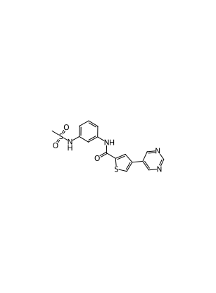 CS(=O)(=O)Nc1cccc(NC(=O)c2cc(-c3cncnc3)cs2)c1